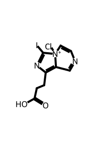 O=C(O)CCC1=C2C=NC=C[N+]2(Cl)C(I)=N1